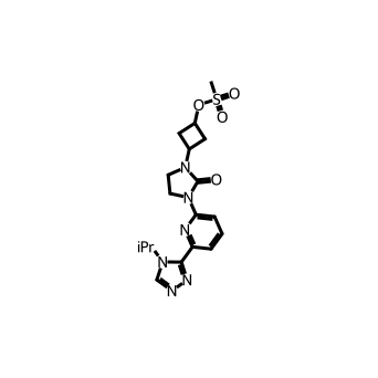 CC(C)n1cnnc1-c1cccc(N2CCN(C3CC(OS(C)(=O)=O)C3)C2=O)n1